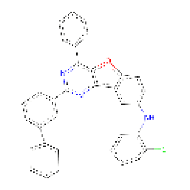 Clc1ccccc1Nc1ccc2oc3c(-c4ccccc4)nc(-c4cccc(-c5ccccc5)c4)nc3c2c1